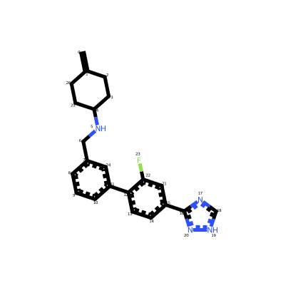 C=C1CCC(NCc2cccc(-c3ccc(-c4nc[nH]n4)cc3F)c2)CC1